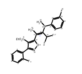 CCOC(=O)c1c(-c2ccccc2F)noc1/C(C)=C(\C(F)F)N(N)c1cccc(F)c1